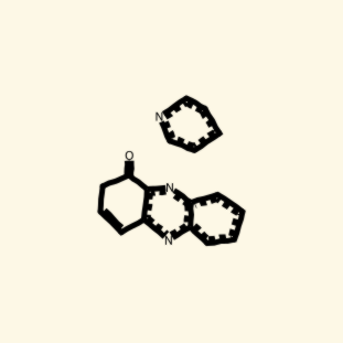 O=C1CC=Cc2nc3ccccc3nc21.c1ccncc1